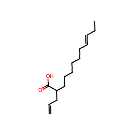 C=CCC(CCCCCCC=CCC)C(=O)O